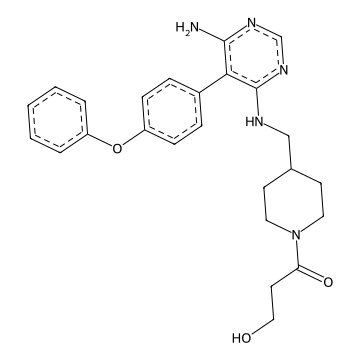 Nc1ncnc(NCC2CCN(C(=O)CCO)CC2)c1-c1ccc(Oc2ccccc2)cc1